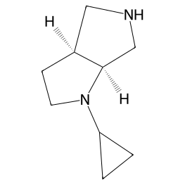 C1CC1N1CC[C@H]2CNC[C@H]21